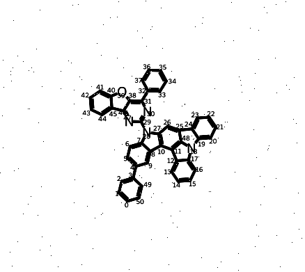 c1ccc(-c2ccc3c(c2)c2c4c5ccccc5n5c6ccccc6c(cc2n3-c2nc(-c3ccccc3)c3oc6ccccc6c3n2)c45)cc1